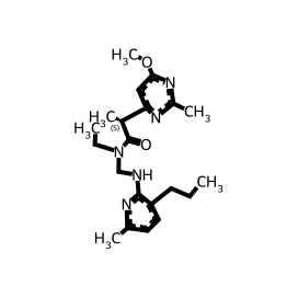 CCCc1ccc(C)nc1NCN(CC)C(=O)[C@@H](C)c1cc(OC)nc(C)n1